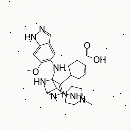 COc1cc2[nH]ncc2cc1NC12NC(=NC(N)=C1C1CC=CCC1)C2N1CCN(C)CC1.O=CO